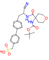 CC(C)(C)OC(=O)NC1(C(=O)NC(C#N)Cc2ccc(-c3ccc(CS(=O)(=O)O)cc3)cc2)CCOCC1